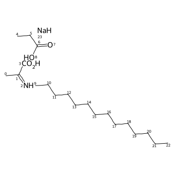 CC(=N)C(=O)O.CCC(=O)O.CCCCCCCCCCCCCC.[NaH]